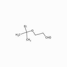 CCC(C)(C)OCCC=O